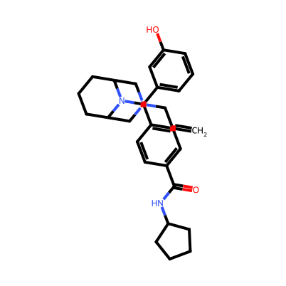 C=CCN1CC2CCCC(C1)N2C(c1ccc(C(=O)NC2CCCC2)cc1)c1cccc(O)c1